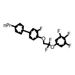 CCCc1ccc(-c2ccc(OCC(F)(F)Oc3cc(F)c(F)c(F)c3)c(F)c2)cc1